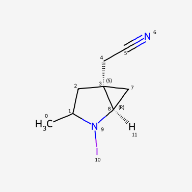 CC1C[C@@]2(CC#N)C[C@H]2N1I